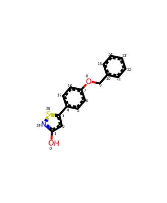 Oc1cc(-c2ccc(OCc3ccccc3)cc2)sn1